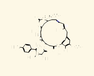 COc1cc2cc(c1Cl)N(C)C(=O)C[C@H](OC(=O)[C@H](C)N(C)C(=O)c1ccc(N)cc1)[C@]1(C)O[C@H]1[C@H](C)[C@@H]1C[C@@](O)(NC(=O)O1)[C@H](OC)/C=C/C=C(\C)C2